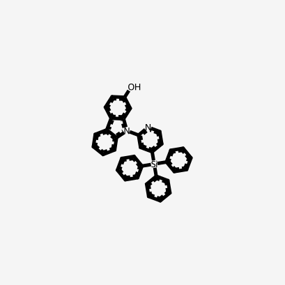 Oc1ccc2c3ccccc3n(-c3cc([Si](c4ccccc4)(c4ccccc4)c4ccccc4)ccn3)c2c1